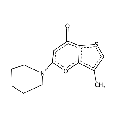 Cc1csc2c(=O)cc(N3CCCCC3)oc12